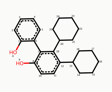 Oc1ccccc1-c1c(O)ccc(C2CCCCC2)c1C1CCCCC1